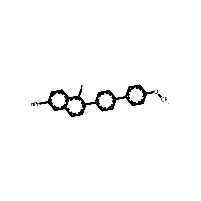 CCCc1ccc2c(F)c(-c3ccc(-c4ccc(OC(F)(F)F)cc4)cc3)ccc2c1